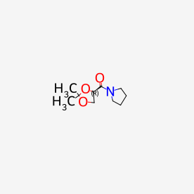 CC1(C)OC[C@H](C(=O)N2CCCC2)O1